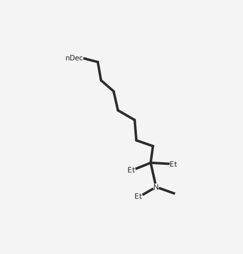 CCCCCCCCCCCCCCCCCC(CC)(CC)N(C)CC